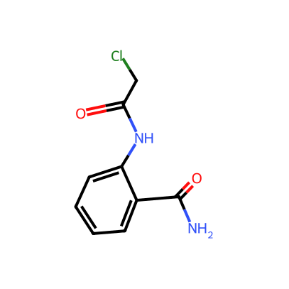 NC(=O)c1ccccc1NC(=O)CCl